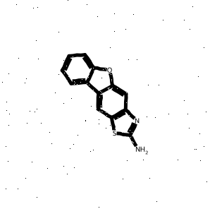 Nc1nc2cc3oc4ccccc4c3cc2s1